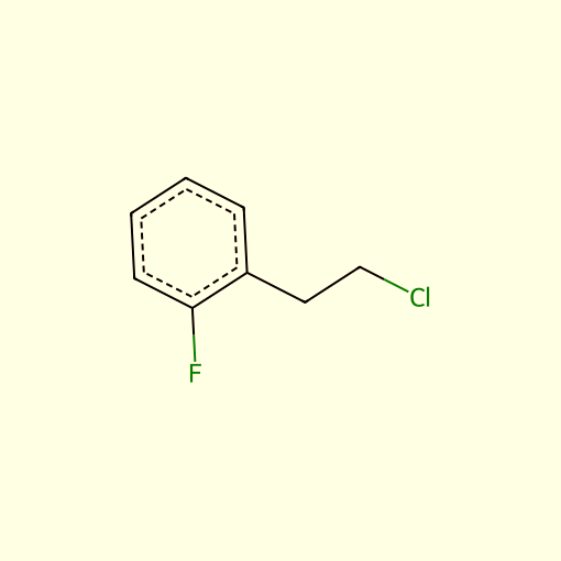 Fc1ccccc1CCCl